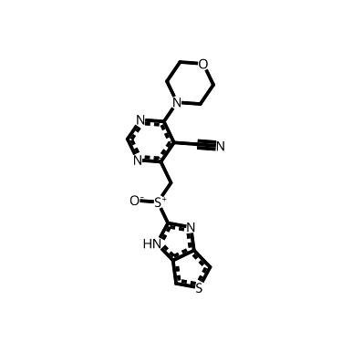 N#Cc1c(C[S+]([O-])c2nc3cscc3[nH]2)ncnc1N1CCOCC1